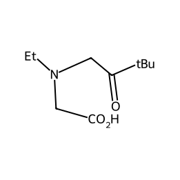 CCN(CC(=O)O)CC(=O)C(C)(C)C